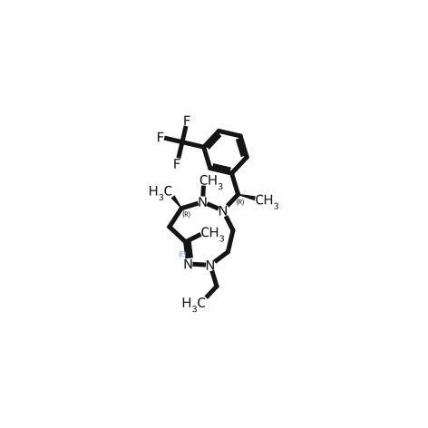 CCN1CCN([C@H](C)c2cccc(C(F)(F)F)c2)N(C)[C@H](C)C/C(C)=N/1